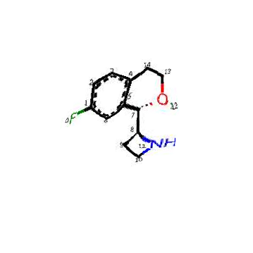 Fc1ccc2c(c1)[C@@H]([C@@H]1CCN1)OCC2